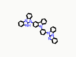 c1cc(-n2c3ccccc3c3cc(N4c5ccccc5N5c6ccccc6NC45)ccc32)cc(-n2c3ccccc3n3c4ccccc4nc23)c1